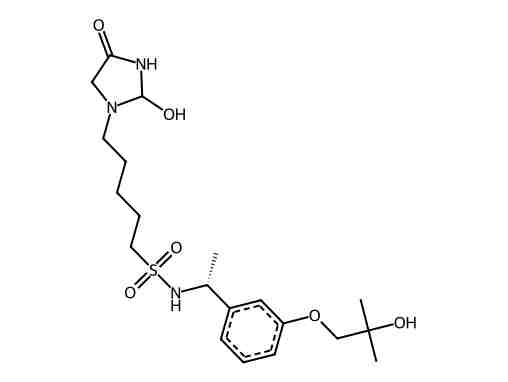 C[C@@H](NS(=O)(=O)CCCCCN1CC(=O)NC1O)c1cccc(OCC(C)(C)O)c1